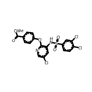 COC(=O)c1ccc(Oc2ncc(Cl)cc2NS(=O)(=O)c2ccc(Cl)c(Cl)c2)cc1